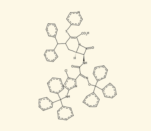 O=C(O)C1=C(Sc2ccncc2)C(C(c2ccccc2)c2ccccc2)C[C@@H]2[C@H](NC(=O)C(=NOC(c3ccccc3)(c3ccccc3)c3ccccc3)c3nc(NC(c4ccccc4)(c4ccccc4)c4ccccc4)sc3Cl)C(=O)N12